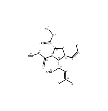 C/C=C\[C@@H]1C[C@@H](C(=O)OC(C)(C)C)N(C(=O)OC(C)(C)C)[C@H]1C(C=C(C)C)NC(C)=O